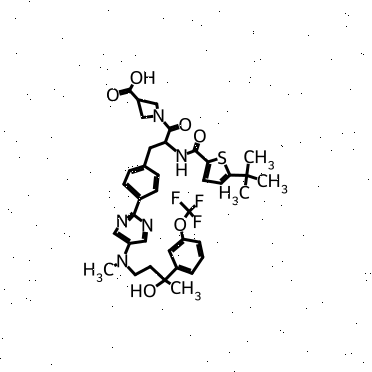 CN(CCC(C)(O)c1cccc(OC(F)(F)F)c1)c1cnc(-c2ccc(CC(NC(=O)c3ccc(C(C)(C)C)s3)C(=O)N3CC(C(=O)O)C3)cc2)nc1